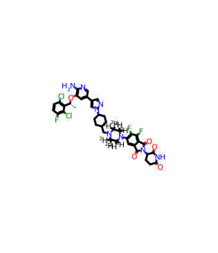 [2H]C1([2H])N(CC2CCC(n3cc(-c4cnc(N)c(O[C@H](C)c5c(Cl)ccc(F)c5Cl)c4)cn3)CC2)C([2H])([2H])C([2H])([2H])N(c2cc3c(c(F)c2F)C(=O)N(C2CCC(=O)NC2=O)C3=O)C1([2H])[2H]